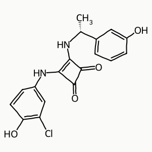 C[C@@H](Nc1c(Nc2ccc(O)c(Cl)c2)c(=O)c1=O)c1cccc(O)c1